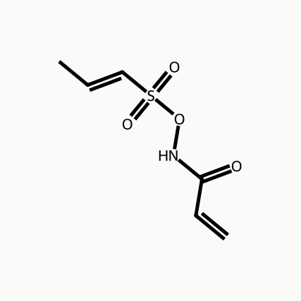 C=CC(=O)NOS(=O)(=O)C=CC